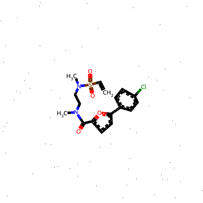 C=CS(=O)(=O)N(C)CCN(C)C(=O)c1ccc(-c2ccc(Cl)cc2)o1